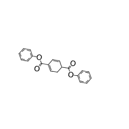 O=C(Oc1ccccc1)C1=CCC(C(=O)Oc2ccccc2)C=C1